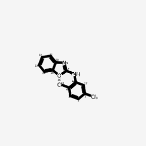 Clc1ccc(Cl)c(Nc2nc3ccccc3o2)c1